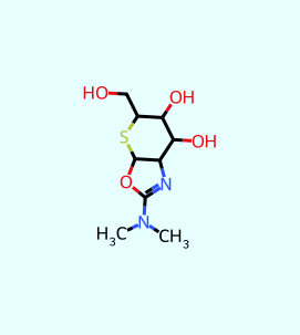 CN(C)C1=NC2C(O1)SC(CO)C(O)C2O